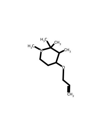 C=CCOC1CCN(C)C(C)(C)C1C